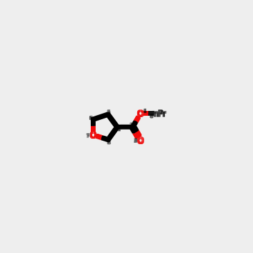 CCCOC(=O)C1CCOC1